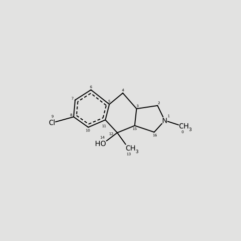 CN1CC2Cc3ccc(Cl)cc3C(C)(O)C2C1